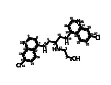 OCCNC(CNc1ccnc2cc(Cl)ccc12)CNc1ccnc2cc(Cl)ccc12